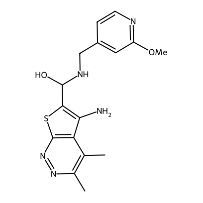 COc1cc(CNC(O)c2sc3nnc(C)c(C)c3c2N)ccn1